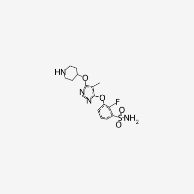 Cc1c(Oc2cccc(S(N)(=O)=O)c2F)ncnc1OC1CCNCC1